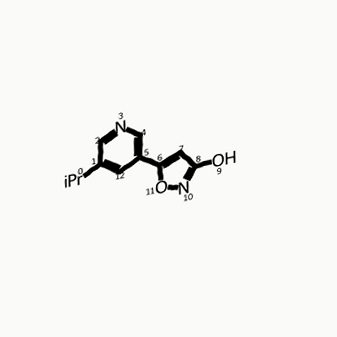 CC(C)c1cncc(-c2cc(O)no2)c1